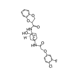 O=C(COc1ccc(Cl)c(F)c1)NC12CCC(NC(=O)C3COc4ccccc4O3)(CC1)[C@H](O)C2